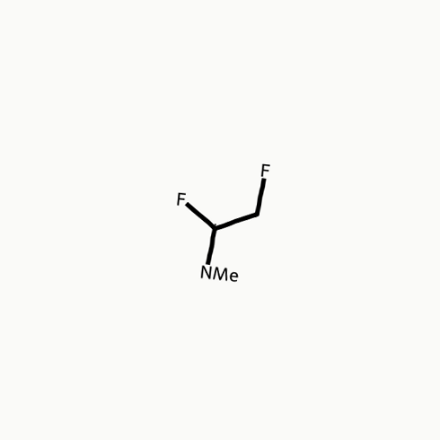 CN[C](F)CF